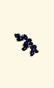 Cc1cc2c3ccccc3n(-c3ccccc3)c2c2c3ccccc3n(-c3cccc(-n4c5ccccc5c5ccc6c(c7ccccc7n6-c6cccc(C7=NC(c8ccccc8)CC=C7)c6)c54)c3)c12